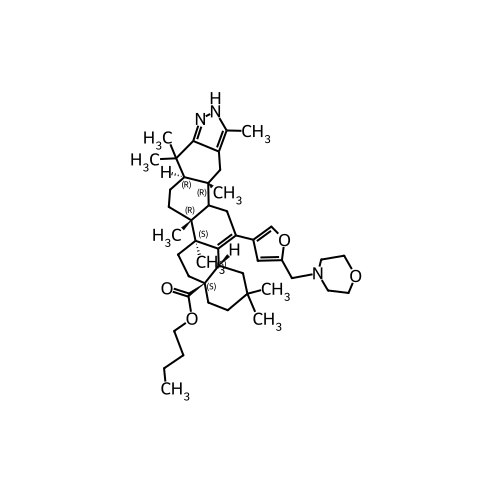 CCCCOC(=O)[C@]12CCC(C)(C)C[C@H]1C1=C(c3coc(CN4CCOCC4)c3)CC3[C@@]4(C)Cc5c(n[nH]c5C)C(C)(C)[C@@H]4CC[C@@]3(C)[C@]1(C)CC2